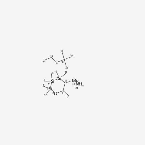 CC1O[Si](C)(C)[Si](C)(C)[Si](C)(C)C1C(C)(C)C.CCCC(C)(C)C.N